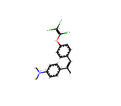 CC(=Cc1ccc(OC(F)=C(F)F)cc1)c1ccc(N(C)C)cc1